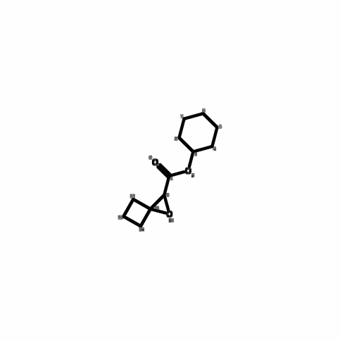 O=C(OC1CCCCC1)C1OC12CCC2